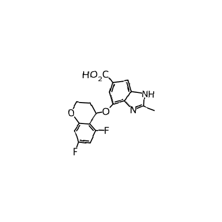 Cc1nc2c(OC3CCOc4cc(F)cc(F)c43)cc(C(=O)O)cc2[nH]1